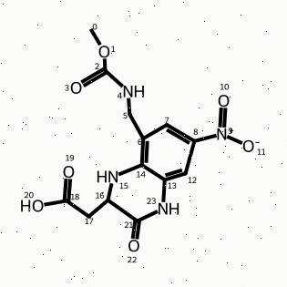 COC(=O)NCc1cc([N+](=O)[O-])cc2c1NC(CC(=O)O)C(=O)N2